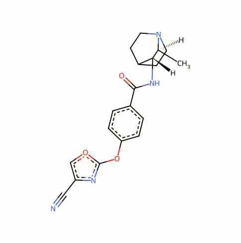 C[C@H]1[C@H](NC(=O)c2ccc(Oc3nc(C#N)co3)cc2)C2CCN1CC2